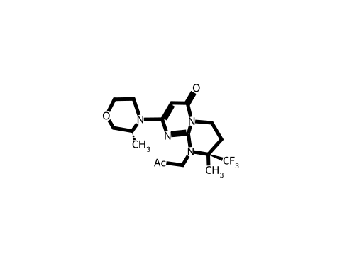 CC(=O)CN1c2nc(N3CCOC[C@H]3C)cc(=O)n2CC[C@@]1(C)C(F)(F)F